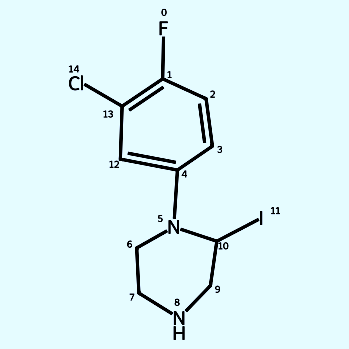 Fc1ccc(N2CCNCC2I)cc1Cl